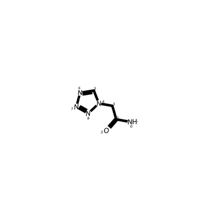 [NH]C(=O)Cn1cnnn1